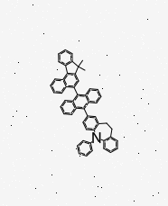 CC1(C)c2ccccc2-c2c1cc(-c1c3ccccc3c(-c3ccc4c(c3)CCc3ccccc3N4c3ccccc3)c3ccccc13)c1ccccc21